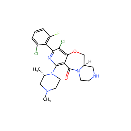 C[C@H]1CN(C)CCN1c1nc(-c2c(F)cccc2Cl)c(Cl)c2c1C(=O)N1CCNC[C@@H]1CO2